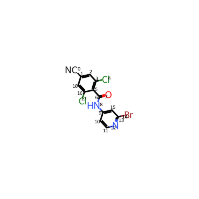 N#Cc1cc(Cl)c(C(=O)Nc2ccnc(Br)c2)c(Cl)c1